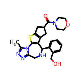 Cc1nnc2n1-c1sc3c(c1C(c1ccccc1CO)NC2)CC(C(=O)N1CCOCC1)C3